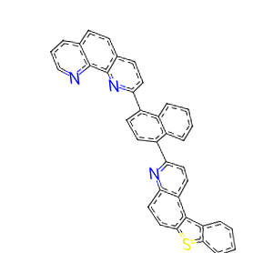 c1cnc2c(c1)ccc1ccc(-c3ccc(-c4ccc5c(ccc6sc7ccccc7c65)n4)c4ccccc34)nc12